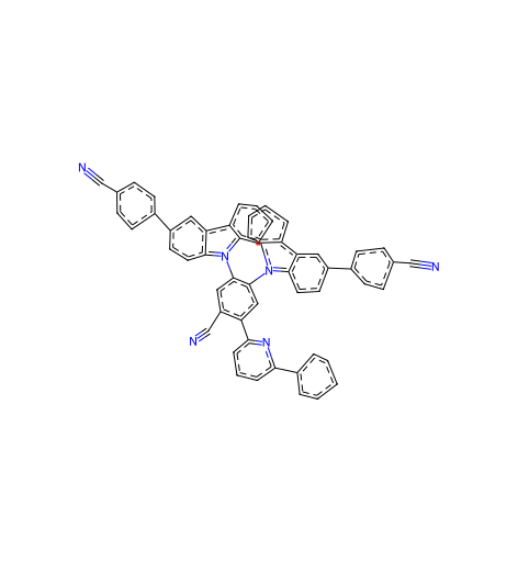 N#Cc1ccc(-c2ccc3c(c2)c2ccccc2n3-c2cc(C#N)c(-c3cccc(-c4ccccc4)n3)cc2-n2c3ccccc3c3cc(-c4ccc(C#N)cc4)ccc32)cc1